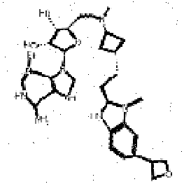 CCN1CNC(N)C2NCN([C@@H]3O[C@H](CN(C)[C@H]4C[C@@H](CCC5Nc6ccc(C7COC7)cc6N5C)C4)[C@@H](O)[C@H]3O)C21